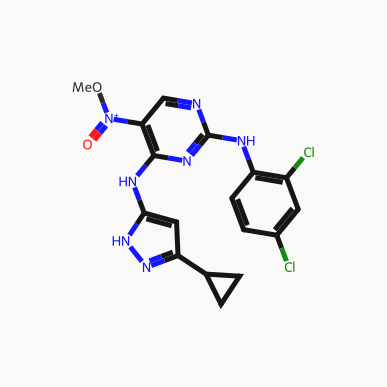 CO[N+](=O)c1cnc(Nc2ccc(Cl)cc2Cl)nc1Nc1cc(C2CC2)n[nH]1